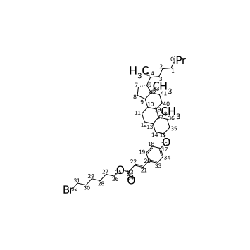 CC(C)CCC[C@@H](C)[C@H]1CCC2C3CCC4CC(Oc5ccc(C=CC(=O)OCCCCCCBr)cc5)CC[C@]4(C)C3CC[C@@]21C